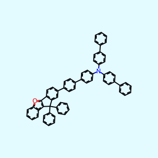 c1ccc(-c2ccc(N(c3ccc(-c4ccccc4)cc3)c3ccc(-c4ccc(-c5ccc6c(c5)C(c5ccccc5)(c5ccccc5)c5c-6oc6ccccc56)cc4)cc3)cc2)cc1